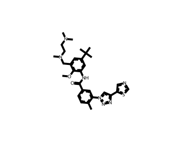 COc1c(CN(C)CCN(C)C)cc(C(C)(C)C)cc1NC(=O)c1ccc(C)c(-n2cc(-c3cncs3)nn2)c1